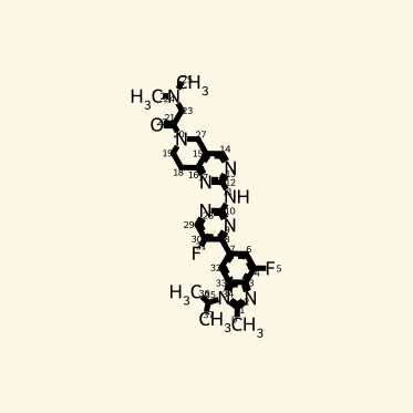 Cc1nc2c(F)cc(-c3nc(Nc4ncc5c(n4)CCN(C(=O)CN(C)C)C5)ncc3F)cc2n1C(C)C